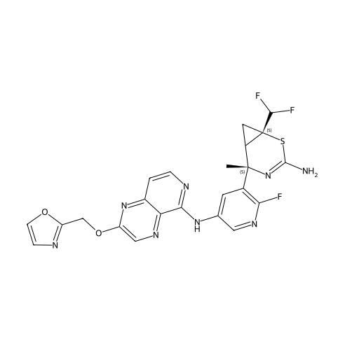 C[C@]1(c2cc(Nc3nccc4nc(OCc5ncco5)cnc34)cnc2F)N=C(N)S[C@@]2(C(F)F)CC21